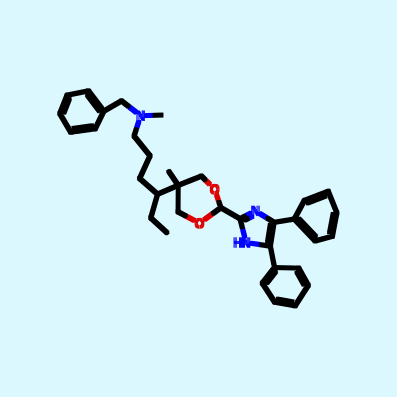 CCC(CCCN(C)Cc1ccccc1)C1(C)COC(c2nc(-c3ccccc3)c(-c3ccccc3)[nH]2)OC1